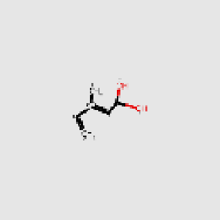 C=C[Si](C)=CC(O)O